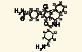 NC[C@H]1CC[C@H](C(=O)NC(Cc2ccccc2)c2cc(-c3ccc(C(N)=O)cc3)c(Cl)s2)CC1